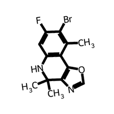 Cc1c(Br)c(F)cc2c1-c1ocnc1C(C)(C)N2